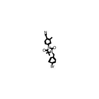 Cc1cc(N2C(=O)N(Cc3ccc(Br)cc3)C(C)(C)C2=O)ccc1C#N